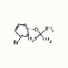 BC(B)(B)Oc1cc(Br)ccn1